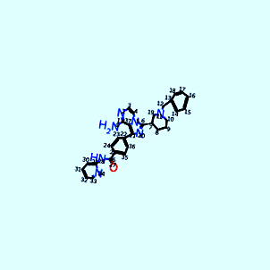 Nc1nccn2c([C@@H]3CCCN(Cc4ccccc4)C3)nc(-c3ccc(C(=O)Nc4ccccn4)cc3)c12